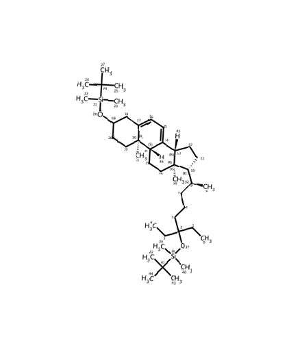 CCC(CC)(CCC[C@H](C)[C@H]1CC[C@H]2C3=CC=C4CC(O[Si](C)(C)C(C)(C)C)CC[C@]4(C)[C@H]3CC[C@]12C)O[Si](C)(C)C(C)(C)C